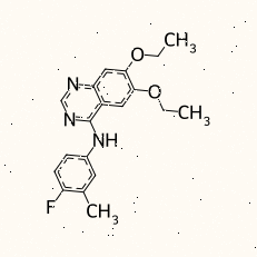 CCOc1cc2ncnc(Nc3ccc(F)c(C)c3)c2cc1OCC